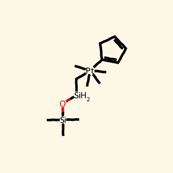 C[Si](C)(C)O[SiH2][CH2][Pt]([CH3])([CH3])([CH3])([CH3])[C]1=CC=CC1